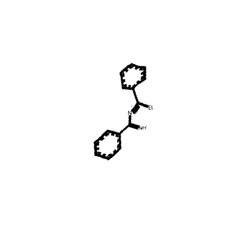 CC/C(=N\C(=N)c1ccccc1)c1ccccc1